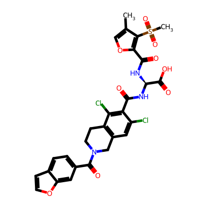 Cc1coc(C(=O)N[C@H](NC(=O)c2c(Cl)cc3c(c2Cl)CCN(C(=O)c2ccc4ccoc4c2)C3)C(=O)O)c1S(C)(=O)=O